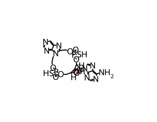 Nc1ncnc2c1ncn2C1O[C@@H]2COP(=O)(S)OCCn3c(nc4cncnc43)COP(=O)(S)O[C@@H]1[C@@H]2O